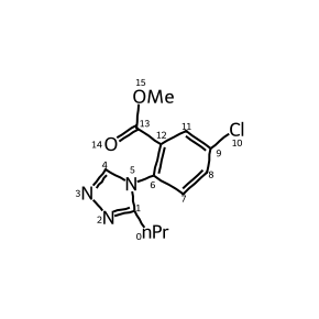 CCCc1nncn1-c1ccc(Cl)cc1C(=O)OC